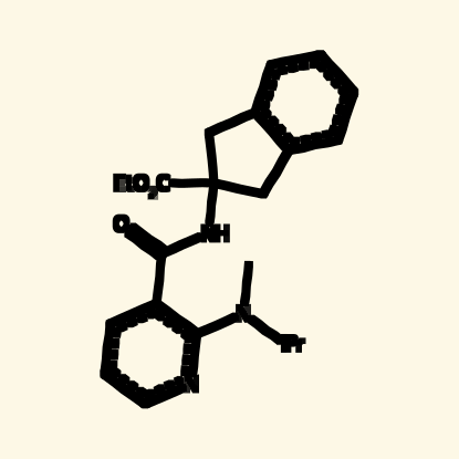 CCOC(=O)C1(NC(=O)c2cccnc2N(C)C(C)C)Cc2ccccc2C1